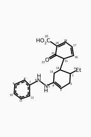 CCC1CC=C(NNc2ccccc2)CC1C1C=CC=C(C(=O)O)C1=O